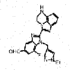 CCn1cc(Cn2c(-c3cc4cccc5c4n3CCN5)nc3cc(C=O)cc(F)c32)cn1